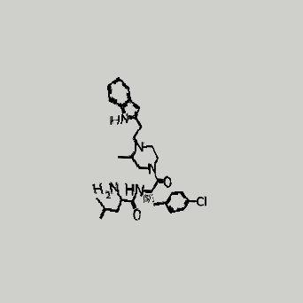 CC(C)CC(N)C(=O)N[C@@H](Cc1ccc(Cl)cc1)C(=O)N1CCN(CCc2cc3ccccc3[nH]2)C(C)C1